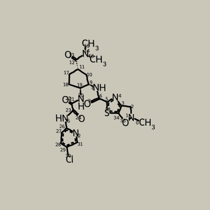 CN1Cc2nc(C(=O)N[C@@H]3C[C@@H](C(=O)N(C)C)CC[C@@H]3NC(=O)C(=O)Nc3ccc(Cl)cn3)sc2O1